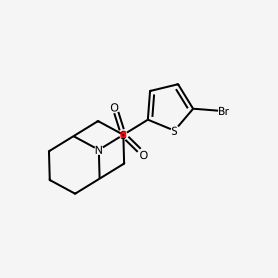 O=S(=O)(c1ccc(Br)s1)N1C2CCCC1CCC2